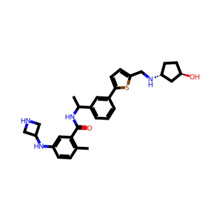 Cc1ccc(NC2CNC2)cc1C(=O)NC(C)c1cccc(-c2ccc(CN[C@@H]3CC[C@@H](O)C3)s2)c1